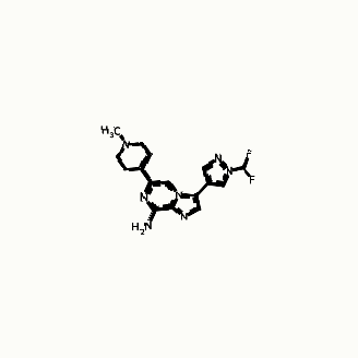 CN1CC=C(c2cn3c(-c4cnn(C(F)F)c4)cnc3c(N)n2)CC1